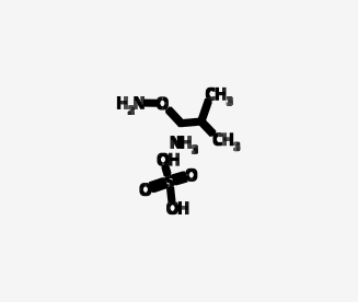 CC(C)CON.N.O=S(=O)(O)O